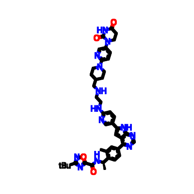 Cc1cc(-c2ncnc3[nH]c(-c4ccc(NCCNCC5CCN(c6ccc(N7CCC(=O)NC7=O)cn6)CC5)nc4)cc23)ccc1[C@@H](C)NC(=O)c1nc(C(C)(C)C)no1